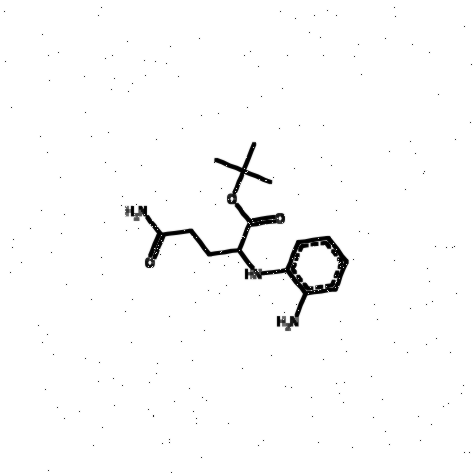 CC(C)(C)OC(=O)C(CCC(N)=O)Nc1ccccc1N